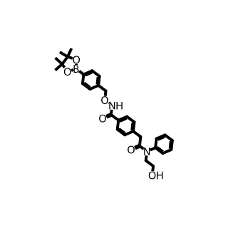 CC1(C)OB(c2ccc(CONC(=O)c3ccc(CC(=O)N(CCO)c4ccccc4)cc3)cc2)OC1(C)C